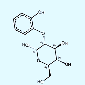 OC[C@H]1O[C@H](O)[C@H](Oc2ccccc2O)[C@@H](O)[C@@H]1O